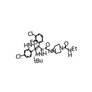 CCNC(=O)N1CCC(NC(=O)[C@@H]2N[C@H](CC(C)(C)C)[C@]3(C(=O)Nc4cc(Cl)ccc43)[C@H]2c2cccc(Cl)c2F)CC1